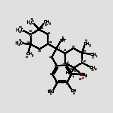 [CH2]CCC(Cc1cc(C(C)(C)C)c(O)c(C(C)(C)C)c1)(C1CC(C)(C)N(C)C(C)(C)C1)C1CC(C)(C)N(C)C(C)(C)C1